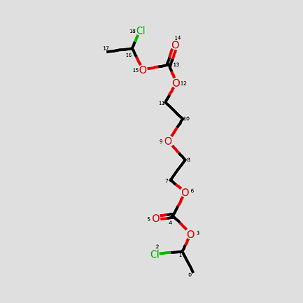 CC(Cl)OC(=O)OCCOCCOC(=O)OC(C)Cl